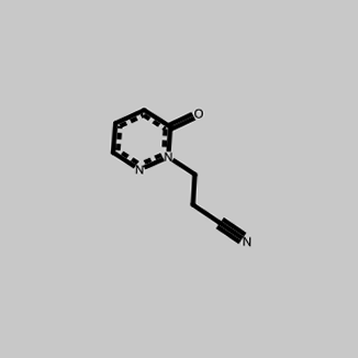 N#CCCn1ncccc1=O